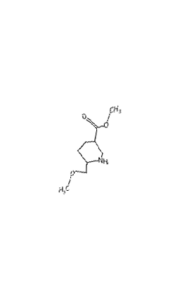 COCC1CCC(C(=O)OC)CN1